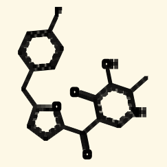 Cc1[nH]cc(C(=O)c2ccc(Cc3ccc(F)cc3)o2)c(=O)c1O